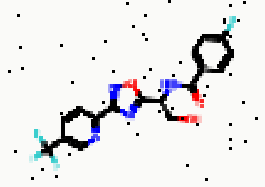 O=C(N[C@@H](CO)c1nc(-c2ccc(C(F)(F)F)cn2)no1)c1ccc(F)cc1